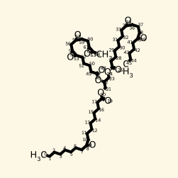 CCCCCCCCC1OC1CCCCCCCC(=O)OCC(COC(=O)CCCCCCCC1OC1CC1OC1CCCCC)OC(=O)CCCCC1OC1CC1OC1CC1OC1C